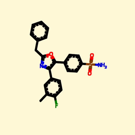 Cc1cc(-c2nc(Cc3ccccc3)oc2-c2ccc(S(N)(=O)=O)cc2)ccc1F